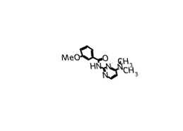 COc1cccc(C(=O)Nc2nccc(N(C)C)n2)c1